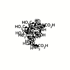 N[C@@H](CCC(=O)O)C(=O)N[C@@H](CO)C(=O)N[C@@H](CCC(=O)O)C(=O)N[C@@H](CO)C(=O)N[C@@H](CCC(=O)O)C(=O)N[C@@H](CO)C(=O)N[C@@H](CCC(=O)O)C(=O)N[C@@H](CO)C(=O)N[C@@H](CCC(=O)O)C(=O)N[C@@H](CO)C(=O)N[C@@H](CCC(=O)O)C(=O)N[C@@H](CO)C(=O)O